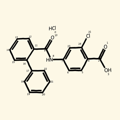 Cl.O=C(O)c1ccc(NC(=O)c2ccccc2-c2ccccc2)cc1Cl